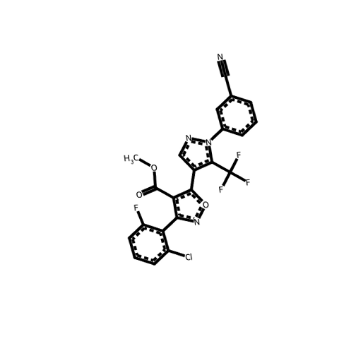 COC(=O)c1c(-c2c(F)cccc2Cl)noc1-c1cnn(-c2cccc(C#N)c2)c1C(F)(F)F